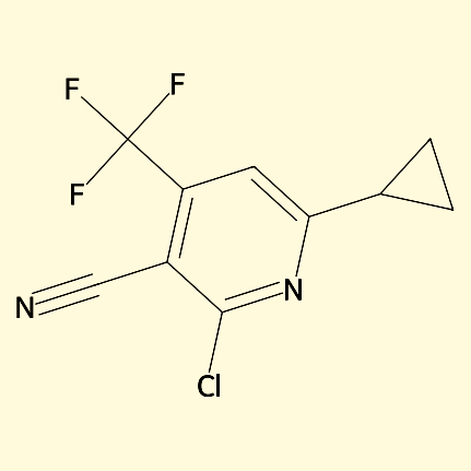 N#Cc1c(C(F)(F)F)cc(C2CC2)nc1Cl